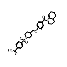 O=C(O)c1ccc(S(=O)(=O)N2CCC(COc3ccc(C(=O)N4CCCC5CCCC=C54)cc3)CC2)cc1